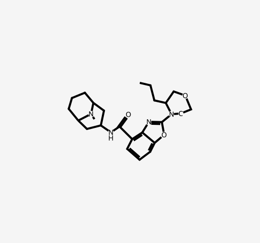 CCCC1COCCN1c1nc2c(C(=O)NC3CC4CCCC(C3)N4C)cccc2o1